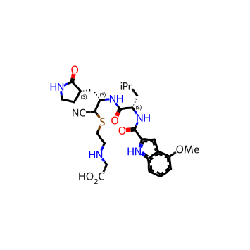 COc1cccc2[nH]c(C(=O)N[C@@H](CC(C)C)C(=O)N[C@@H](C[C@@H]3CCNC3=O)C(C#N)SCCNCC(=O)O)cc12